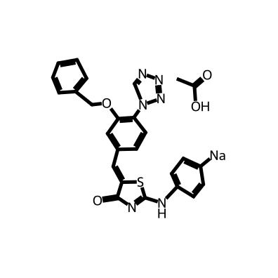 CC(=O)O.O=C1N=C(Nc2cc[c]([Na])cc2)SC1=Cc1ccc(-n2cnnn2)c(OCc2ccccc2)c1